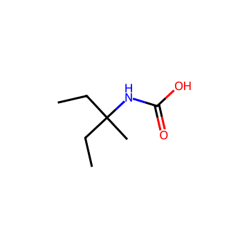 CCC(C)(CC)NC(=O)O